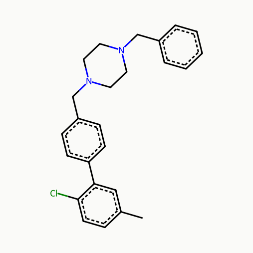 Cc1ccc(Cl)c(-c2ccc(CN3CCN(Cc4ccccc4)CC3)cc2)c1